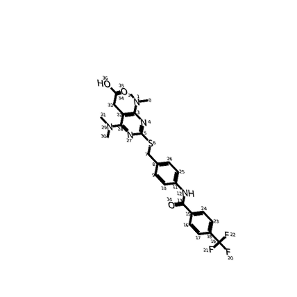 CN(C)c1nc(SCc2ccc(NC(=O)c3ccc(C(F)(F)F)cc3)cc2)nc(N(C)C)c1CC(=O)O